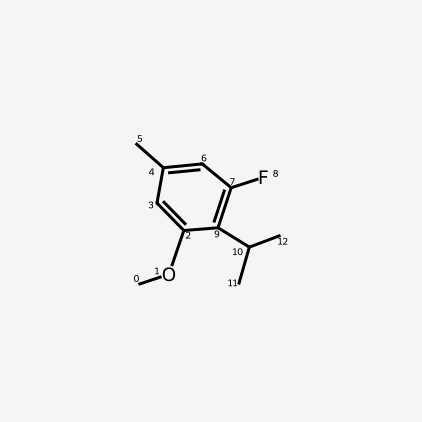 COc1cc(C)cc(F)c1C(C)C